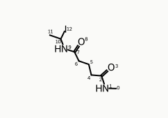 CNC(=O)CCCC(=O)NC(C)I